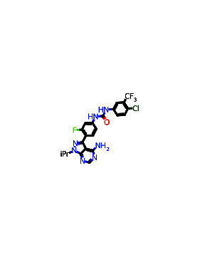 CC(C)n1nc(-c2ccc(NC(=O)Nc3ccc(Cl)c(C(F)(F)F)c3)cc2F)c2c(N)ncnc21